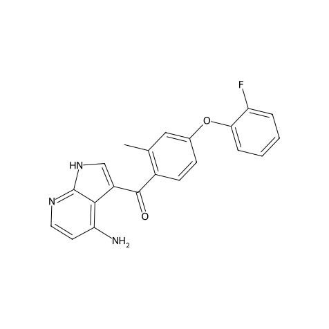 Cc1cc(Oc2ccccc2F)ccc1C(=O)c1c[nH]c2nccc(N)c12